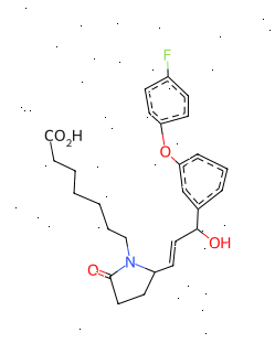 O=C(O)CCCCCCN1C(=O)CCC1C=CC(O)c1cccc(Oc2ccc(F)cc2)c1